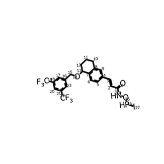 O=C(/C=C/c1ccc2c(c1)CCCC2OCc1cc(C(F)(F)F)cc(C(F)(F)F)c1)NOPI